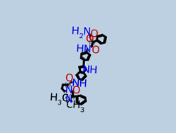 CN(C)[C@@H](C(=O)N1CCC[C@H]1C(=O)Nc1ccc2[nH]c(-c3ccc(NC(=O)[C@@H](OC(N)=O)c4ccccc4)cc3)cc2c1)c1ccccc1